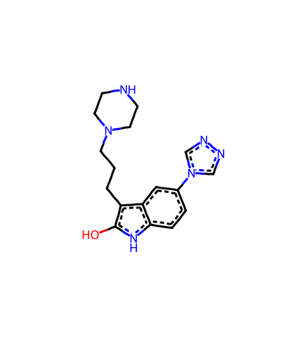 Oc1[nH]c2ccc(-n3cnnc3)cc2c1CCCN1CCNCC1